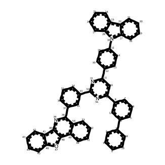 c1ccc(-c2cccc(-c3cc(-c4ccc(-n5c6ccccc6c6ccccc65)cc4)nc(-c4cccc(-c5nc6c7ccccc7oc6c6ccccc56)c4)n3)c2)cc1